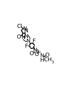 CC(=O)NC[C@H]1CN(c2cc(F)c(N3CCn4c(=O)c5cc(Cl)nnc5n4CC3)c(F)c2)C(=O)O1